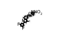 Cc1cc(-c2cc(F)cc(F)c2)nc2c1CN(C[C@@]1(C)Cn3cc([N+](=O)[O-])nc3O1)CC2